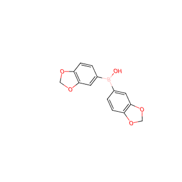 OB(c1ccc2c(c1)OCO2)c1ccc2c(c1)OCO2